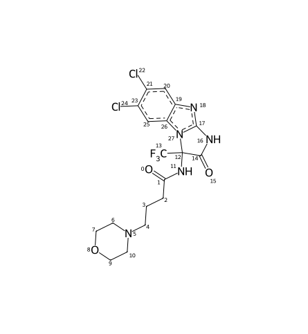 O=C(CCCN1CCOCC1)NC1(C(F)(F)F)C(=O)Nc2nc3cc(Cl)c(Cl)cc3n21